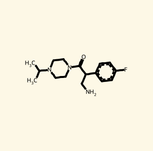 CC(C)N1CCN(C(=O)C(CN)c2ccc(F)cc2)CC1